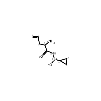 C=CCC(N)C(=O)N[S+]([O-])C1CC1